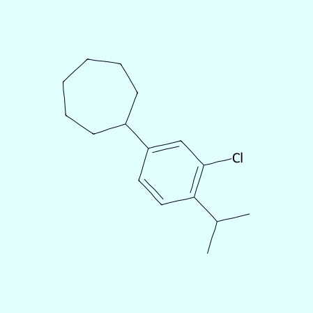 CC(C)c1ccc(C2CCCCCC2)cc1Cl